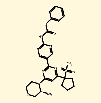 C[C@H]1COCCN1c1cc(C2(S(C)(=O)=O)CCCC2)nc(-c2cnc(NC(=O)Oc3ccccc3)nc2)n1